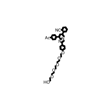 CC(=O)c1ccc(-c2cc(-c3ccccc3C#N)cn3cc(-c4ccc(OCCOCCOCCOCCOCCO)cc4)nc23)cc1